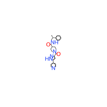 C[C@H](CNC(=O)C1CCN(C(=O)c2cc(-c3ccncc3)[nH]n2)CC1)c1ccccc1